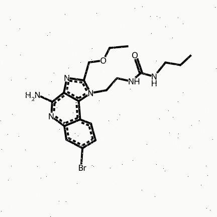 CCCNC(=O)NCCn1c(COCC)nc2c(N)nc3cc(Br)ccc3c21